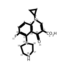 O=C(O)c1cn(C2CC2)c2ccc(F)c(N3CCNCC3)c2c1=O